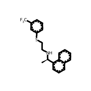 C[C@@H](NCCSc1cccc(C(F)(F)F)c1)c1cccc2ccccc12